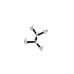 ClP(Cl)P(Cl)Cl